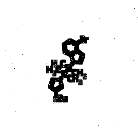 CCCCC1=CC([Si](C)(C)[Si](C)(C)C2C=Cc3c(Br)cccc32)C=C1